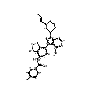 CC=CN1CCC[C@@H](n2nc(-c3ccc(NC(=O)c4ccc(F)cc4)c4c3OCO4)c3c(N)ncnc32)C1